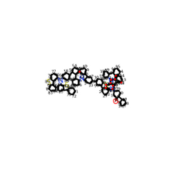 C#C/C(=C\C=C(/C)N(c1ccc2c(c1)oc1ccccc12)c1cccc2c1sc1ccc(-c3ccc4c(c3)c3ccccc3n4-c3ccccc3-c3ccccc3-c3ccc(N(c4cccc5c4sc4ccccc45)c4cccc5sc6ccccc6c45)cc3)cc12)c1ccccc1-c1ccccc1-n1c2ccccc2c2ccccc21